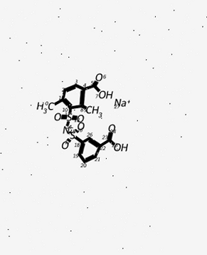 Cc1ccc(C(=O)O)c(C)c1S(=O)(=O)[N-]S(=O)(=O)c1cccc(C(=O)O)c1.[Na+]